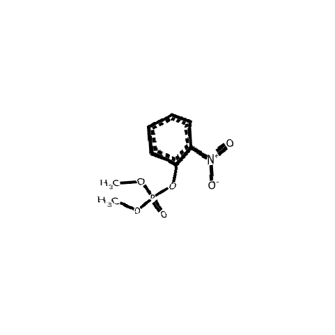 COP(=O)(OC)Oc1ccccc1[N+](=O)[O-]